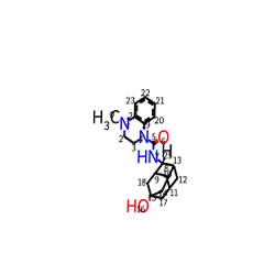 CN1CCN(C(=O)N[C@H]2C3CC4CC2C[C@](O)(C4)C3)c2ccccc21